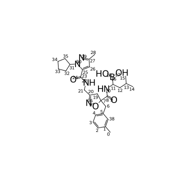 Cc1cccc(CC2(C(=O)NC(CC(C)C)B(O)O)CC(CNC(=O)c3cc(C)nn3C3CCCC3)=NO2)c1